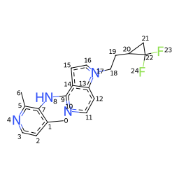 Cc1ccnc(C)c1Nc1nccc2c1ccn2CCC1CC1(F)F